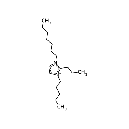 CCCCCCCn1cc[n+](CCCCC)c1CCC